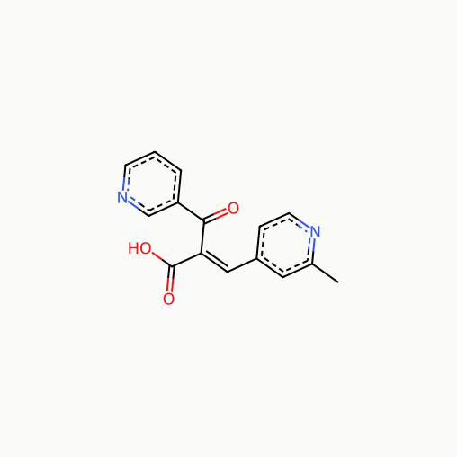 Cc1cc(/C=C(/C(=O)O)C(=O)c2cccnc2)ccn1